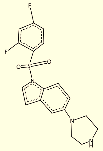 O=S(=O)(c1ccc(F)cc1F)n1ccc2cc(N3CCNCC3)ccc21